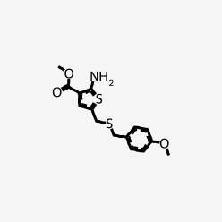 COC(=O)c1cc(CSCc2ccc(OC)cc2)sc1N